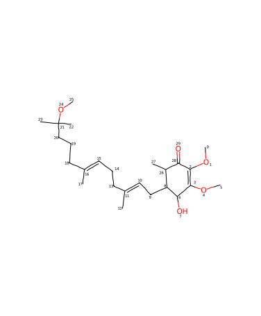 COC1=C(OC)C(O)C(C/C=C(\C)CC/C=C(\C)CCCC(C)(C)OC)C(C)C1=O